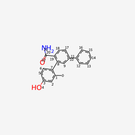 Cc1cc(O)ccc1-c1cc(-c2ccccc2)ccc1C(N)=O